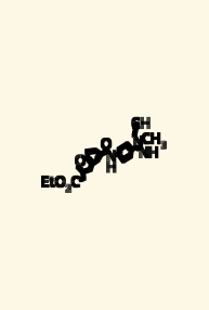 C#CCN(C)C(=N)c1ccc(NC(=O)c2ccc3c(c2)CC(CC(=O)OCC)CO3)cc1